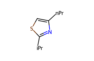 CCCc1csc(C(C)C)n1